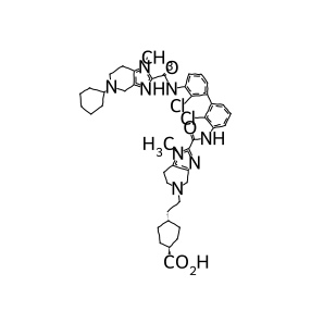 Cn1c(C(=O)Nc2cccc(-c3cccc(NC(=O)c4nc5c(n4C)CCN(C4CCCCC4)C5)c3Cl)c2Cl)nc2c1CCN(CC[C@H]1CC[C@H](C(=O)O)CC1)C2